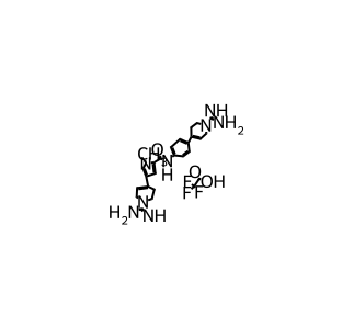 Cn1cc(C2=CCN(C(=N)N)CC2)cc1C(=O)Nc1ccc(C2=CCN(C(=N)N)CC2)cc1.O=C(O)C(F)(F)F